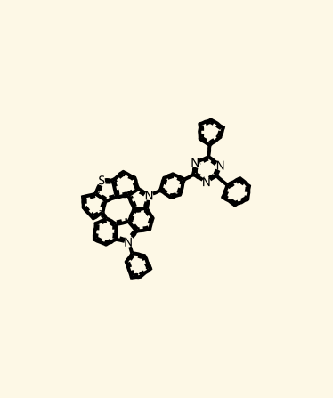 c1ccc(-c2nc(-c3ccccc3)nc(-c3ccc(-n4c5ccc6sc7cccc8c9cccc%10c9c9c(c5c6c78)c4ccc9n%10-c4ccccc4)cc3)n2)cc1